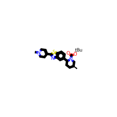 C[C@H]1CCC(c2ccc3sc(C4=CCN(C)CC4)nc3c2)N(C(=O)OC(C)(C)C)C1